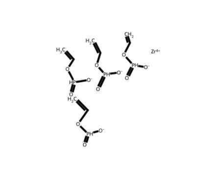 C=CO[PH](=O)[O-].C=CO[PH](=O)[O-].C=CO[PH](=O)[O-].C=CO[PH](=O)[O-].[Zr+4]